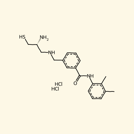 Cc1cccc(NC(=O)c2cccc(CNC[C@@H](N)CS)c2)c1C.Cl.Cl